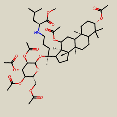 COC(=O)[C@H](CC(C)C)NCCC[C@](C)(O[C@H]1O[C@H](COC(C)=O)[C@@H](OC(C)=O)[C@H](OC(C)=O)[C@H]1OC(C)=O)C1CC[C@]2(C)[C@@H]1C(OC(C)=O)CC1[C@@]3(C)CC[C@H](OC(C)=O)C(C)(C)C3CC[C@]12C